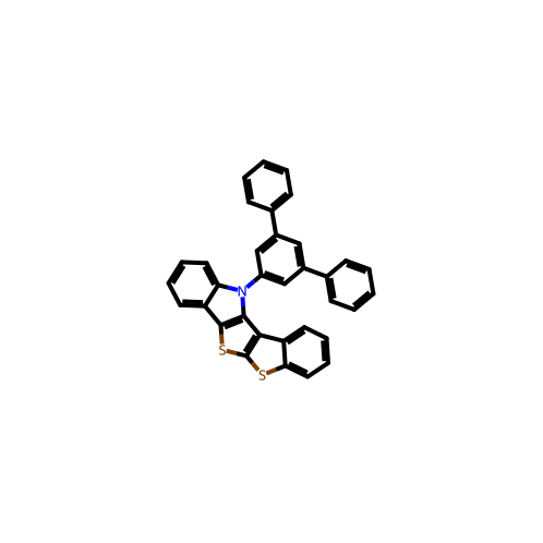 c1ccc(-c2cc(-c3ccccc3)cc(-n3c4ccccc4c4sc5sc6ccccc6c5c43)c2)cc1